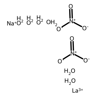 O.O.O.O.O.O.O=[N+]([O-])[O-].O=[N+]([O-])[O-].[La+3].[Na+]